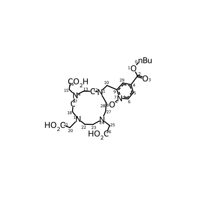 CCCCOC(=O)c1cc[n+]([O-])c(CN2CCN(CC(=O)O)CCN(CC(=O)O)CCN(CC(=O)O)CC2)c1